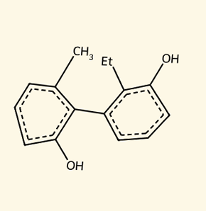 CCc1c(O)cccc1-c1c(C)cccc1O